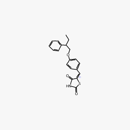 CCC(COc1ccc(/C=C2/SC(=O)NC2=O)cc1)c1ccccc1